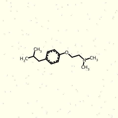 CC(C)Cc1ccc(OCCN(C)C)cc1